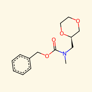 CN(C[C@@H]1COCCO1)C(=O)OCc1ccccc1